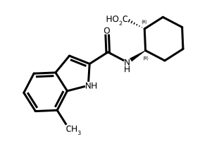 Cc1cccc2cc(C(=O)N[C@@H]3CCCC[C@H]3C(=O)O)[nH]c12